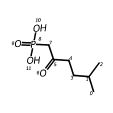 CC(C)CCC(=O)CP(=O)(O)O